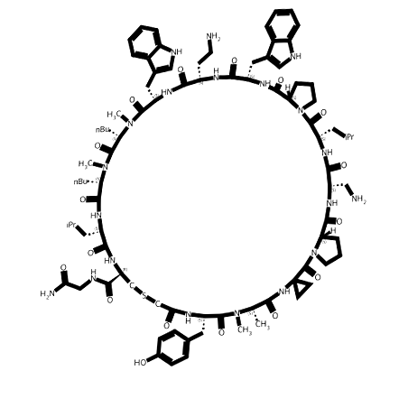 CCCC[C@H]1C(=O)N(C)[C@@H](CCCC)C(=O)N[C@@H](CC(C)C)C(=O)N[C@H](C(=O)NCC(N)=O)CSCC(=O)N[C@@H](Cc2ccc(O)cc2)C(=O)N(C)[C@@H](C)C(=O)NC2(CC2)C(=O)N2CCC[C@H]2C(=O)N[C@@H](CN)C(=O)N[C@@H](CC(C)C)C(=O)N2CCC[C@H]2C(=O)N[C@@H](Cc2c[nH]c3ccccc23)C(=O)N[C@@H](CCN)C(=O)N[C@@H](Cc2c[nH]c3ccccc23)C(=O)N1C